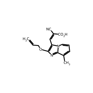 C=CCOc1nc2c(C)cccn2c1C=C(C#N)C(=O)O